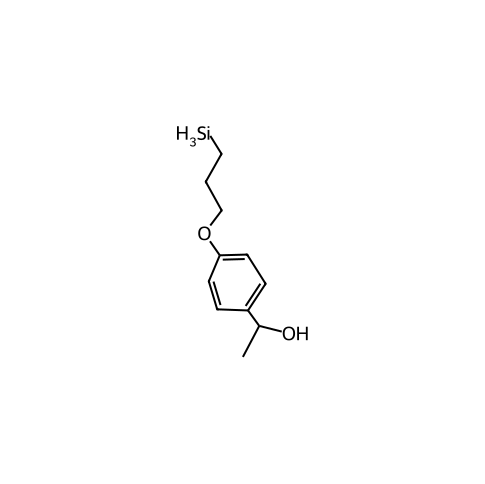 CC(O)c1ccc(OCCC[SiH3])cc1